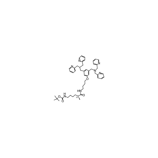 C[C@@H](CCCCNC(=O)OC(C)(C)C)C(=O)NCCCCOc1cc(CC(Cc2ccccn2)Cc2ccccn2)cc(CN(Cc2ccccn2)Cc2ccccn2)c1